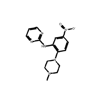 CN1CCN(c2ccc([N+](=O)[O-])cc2Nc2ncccn2)CC1